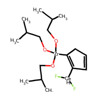 CC(C)C[O][Zr]([O]CC(C)C)([O]CC(C)C)[C]1=[C]([GeH]([F])[F])C=CC1